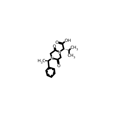 CC(C)[C@@H](C(=O)O)N1CC(=O)N([C@H](C)c2ccccc2)CC1=O